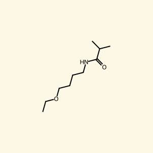 CCOCCCCNC(=O)C(C)C